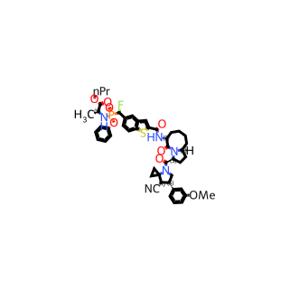 CCCOC(=O)[C@H](C)NP(=O)(Oc1ccccc1)C(F)c1ccc2sc(C(=O)N[C@H]3CCCC[C@H]4CC[C@@H](C(=O)N5C[C@H](c6cccc(OC)c6)[C@@H](C#N)C56CC6)N4C3=O)cc2c1